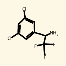 NC(c1cc(Cl)cc(Cl)c1)C(F)(F)F